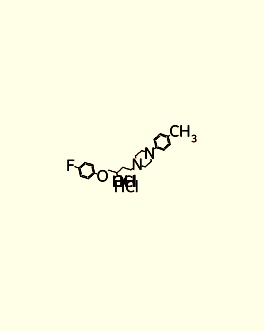 Cc1ccc(N2CCN(CCC(O)COc3ccc(F)cc3)CC2)cc1.Cl.Cl